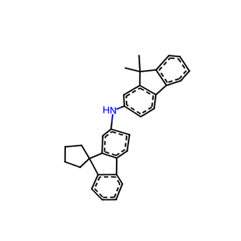 CC1(C)c2ccccc2-c2ccc(Nc3ccc4c(c3)C3(CCCC3)c3ccccc3-4)cc21